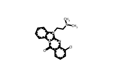 CN(C)CCn1c2ccccc2n2c(=O)c3cccc(Cl)c3nc12